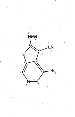 CNc1sc2cncc(Br)c2c1C#N